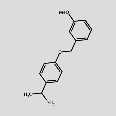 COc1cccc(COc2ccc(C(C)N)cc2)c1